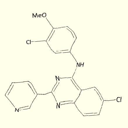 COc1ccc(Nc2nc(-c3cccnc3)nc3ccc(Cl)cc23)cc1Cl